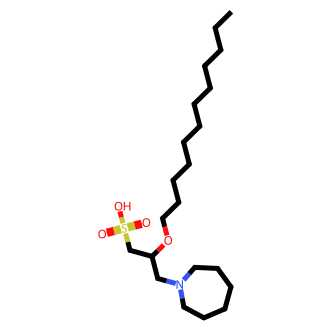 CCCCCCCCCCCCOC(CN1CCCCCC1)CS(=O)(=O)O